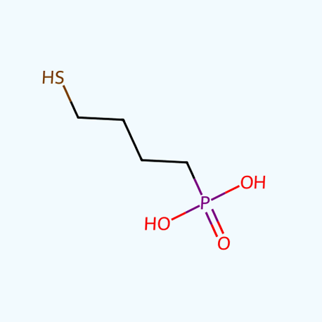 O=P(O)(O)CCCCS